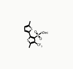 CCCCCCCCCCS(=O)(=O)c1c(-c2ccc(C)s2)sc(C)c1C(F)(F)F